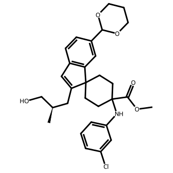 COC(=O)C1(Nc2cccc(Cl)c2)CCC2(CC1)C(C[C@@H](C)CO)=Cc1ccc(C3OCCCO3)cc12